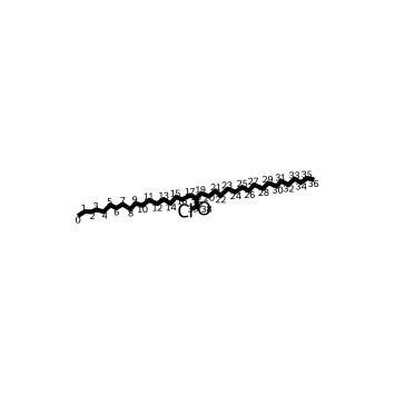 CCCCCCCCCCCCCCCCCCC(CCCCCCCCCCCCCCCCCC)C(=O)Cl